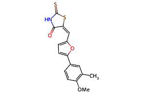 COc1ccc(-c2ccc(/C=C3/SC(=S)NC3=O)o2)cc1C